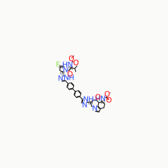 COC(=O)N[C@H]1CCc2ccn3c2C1C(=O)C[C@H](c1ncc(-c2ccc(-c4ccc(-c5cnc([C@@H]6C[C@@H](F)CN6C(=O)[C@@H](NC(=O)OC)C(C)C)[nH]5)cc4)cc2)[nH]1)C3